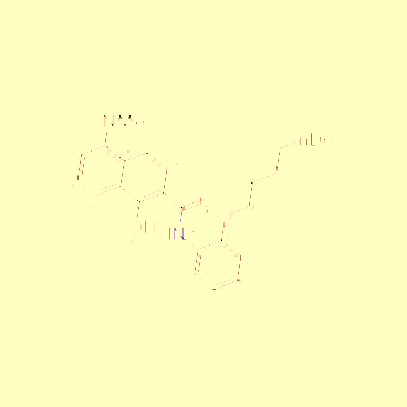 CCCCCCCCCCCCCCOc1ccccc1NC(=O)c1ccc2c(NC)cccc2c1O